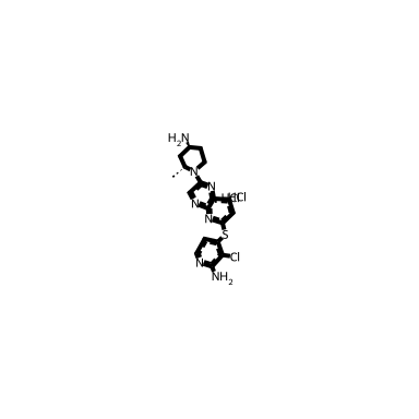 C[C@@H]1C[C@@H](N)CCN1c1cnc2nc(Sc3ccnc(N)c3Cl)ccc2n1.Cl.Cl